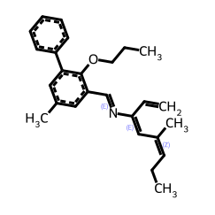 C=CC(=C\C(C)=C/CC)/N=C/c1cc(C)cc(-c2ccccc2)c1OCCC